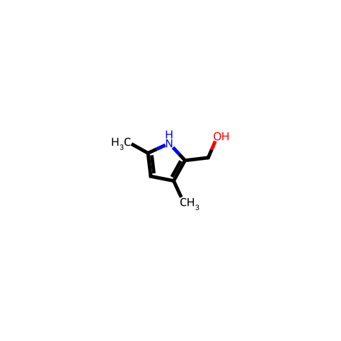 Cc1cc(C)c(CO)[nH]1